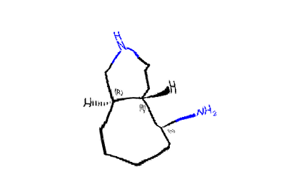 N[C@H]1CCCC[C@H]2CNC[C@@H]21